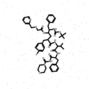 CC(C)C(NC(=O)C(Cc1ccc(F)cc1)CC(OC(=O)COCc1ccccn1)C(Cc1ccccc1)NC(=O)OC(C)(C)C)C(=O)NC(Cc1ccccc1)C(=O)NC(=O)N1CCOCC1